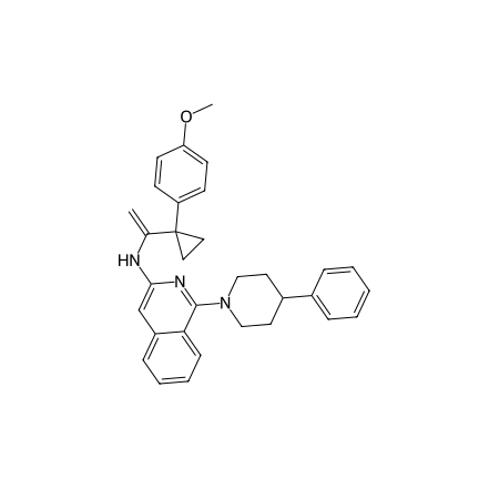 C=C(Nc1cc2ccccc2c(N2CCC(c3ccccc3)CC2)n1)C1(c2ccc(OC)cc2)CC1